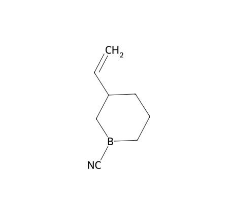 C=CC1CCCB(C#N)C1